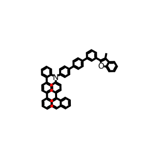 Cc1c(-c2cccc(-c3ccc(-c4ccc(N(c5ccc(-c6cccc7ccccc67)cc5)c5ccccc5-c5ccc(-c6ccccc6)cc5)cc4)cc3)c2)oc2ccccc12